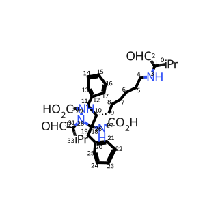 CC(C)C(C=O)NCCCCCC[C@@H](Cc1ccccc1)C(Cc1ccccc1)(NC(=O)O)N(NC(=O)O)[C@H](C=O)C(C)C